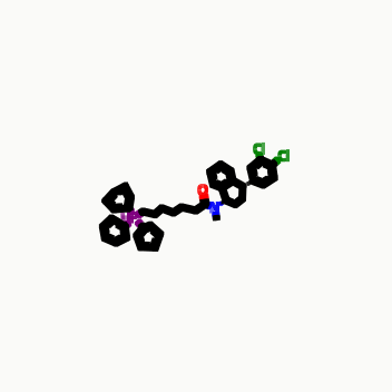 CN(C(=O)CCCCCC[PH](c1ccccc1)(c1ccccc1)c1ccccc1)[C@H]1CC[C@@H](c2ccc(Cl)c(Cl)c2)c2ccccc21